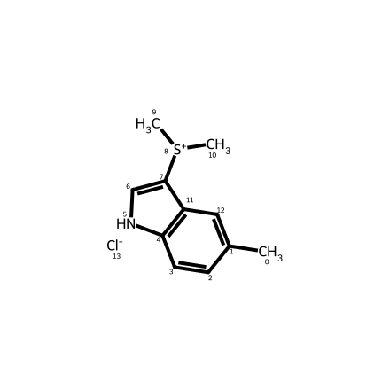 Cc1ccc2[nH]cc([S+](C)C)c2c1.[Cl-]